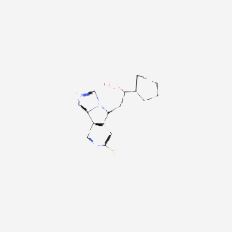 OC(CC1c2cc(F)ncc2-c2cncn21)C1CCCCC1